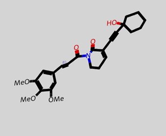 COc1cc(/C=C/C(=O)N2CCC=C(C#CC3(O)CCCCC3)C2=O)cc(OC)c1OC